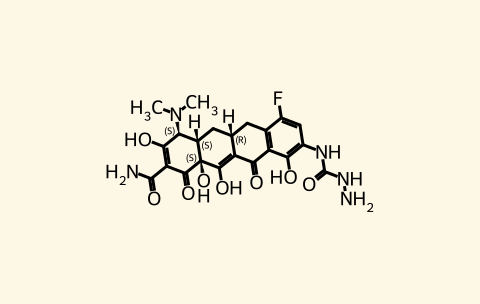 CN(C)[C@@H]1C(O)=C(C(N)=O)C(=O)[C@@]2(O)C(O)=C3C(=O)c4c(O)c(NC(=O)NN)cc(F)c4C[C@H]3C[C@@H]12